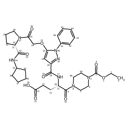 CCOC(=O)N1CCN(C(=O)[C@H](CCC(=O)O)NC(=O)c2cc(OCC(=O)N3CCC[C@H]3C(=O)NC3CCCC3)n(-c3ccccc3)n2)CC1